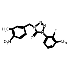 Cc1cc(Cn2nnn(-c3cccc(C(F)(F)F)c3F)c2=O)ccc1[N+](=O)[O-]